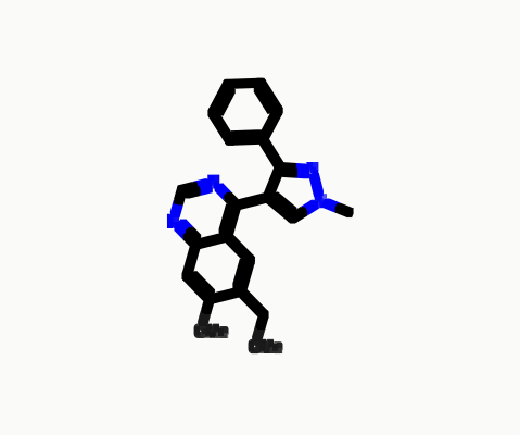 COCc1cc2c(-c3cn(C)nc3-c3ccccc3)ncnc2cc1OC